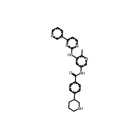 Cc1ncc(NC(=O)c2ccc(C3CCCNC3)cc2)cc1Nc1nccc(-c2cccnc2)n1